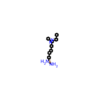 NCSC(N)c1ccc(C2=Cc3ccc(-c4ccc(-c5cc(-c6cccc(-c7ccccc7)c6)nc(-c6ccccc6)n5)cc4)cc3CC2)cc1